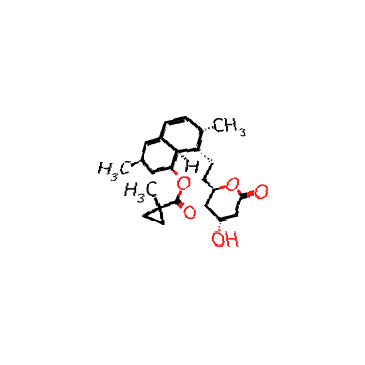 C[C@H]1C=C2C=C[C@H](C)[C@H](CC[C@@H]3C[C@@H](O)CC(=O)O3)[C@H]2[C@@H](OC(=O)C2(C)CC2)C1